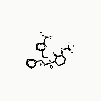 CC(=O)ON1CCCC(P(=O)(NCc2ccccc2)OCc2ccc([N+](=O)[O-])s2)C1=O